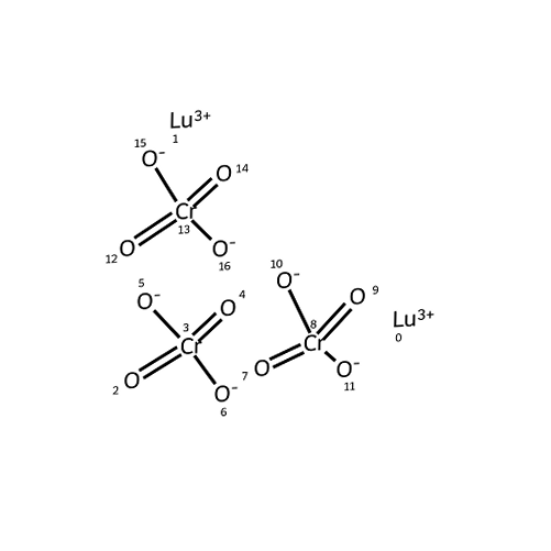 [Lu+3].[Lu+3].[O]=[Cr](=[O])([O-])[O-].[O]=[Cr](=[O])([O-])[O-].[O]=[Cr](=[O])([O-])[O-]